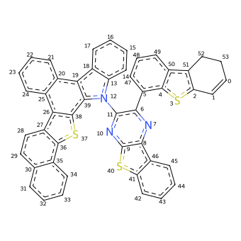 C1=Cc2sc3c(-c4nc5c(nc4-n4c6ccccc6c6c7ccccc7c7c8ccc9ccccc9c8sc7c64)sc4ccccc45)cccc3c2CC1